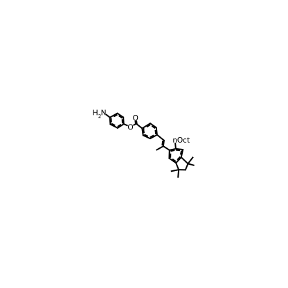 CCCCCCCCc1cc2c(cc1C(C)=Cc1ccc(C(=O)Oc3ccc(N)cc3)cc1)C(C)(C)CC2(C)C